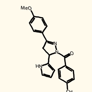 COc1ccc(C2=NN(C(=O)c3ccc(C)cc3)C(c3ccc[nH]3)C2)cc1